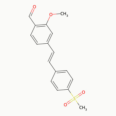 COc1cc(C=Cc2ccc(S(C)(=O)=O)cc2)ccc1C=O